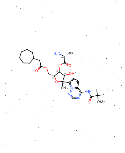 COC(C)(C)C(=O)Nc1ncnn2c([C@]3(C#N)O[C@H](COC(=O)CC4CCCCCC4)[C@@H](OC(=O)[C@H](N)C(C)(C)C)[C@H]3O)ccc12